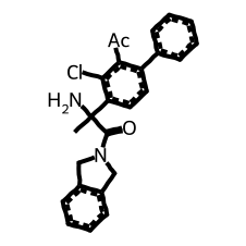 CC(=O)c1c(-c2ccccc2)ccc(C(C)(N)C(=O)N2Cc3ccccc3C2)c1Cl